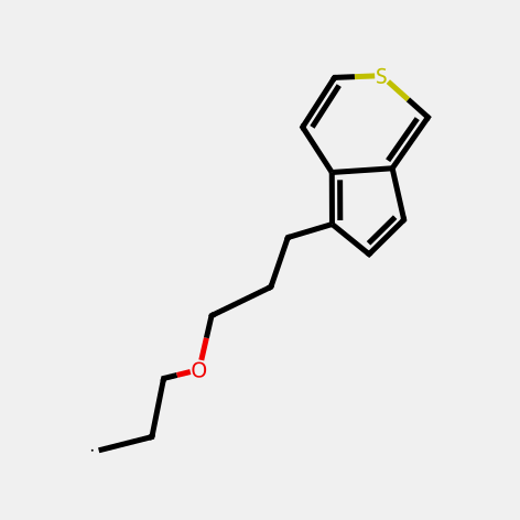 [CH2]CCOCCCc1ccc2csccc1-2